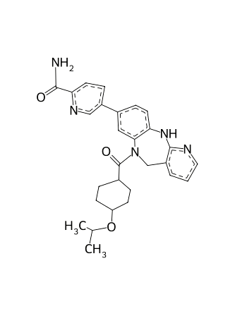 CC(C)OC1CCC(C(=O)N2Cc3cccnc3Nc3ccc(-c4ccc(C(N)=O)nc4)cc32)CC1